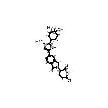 CN1C=C(c2ccc3c(c2)CN(C2CCC(=O)NC2=O)C3=O)NC1C1CCC(C)(C)CC1